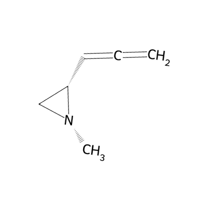 C=C=C[C@H]1C[N@@]1C